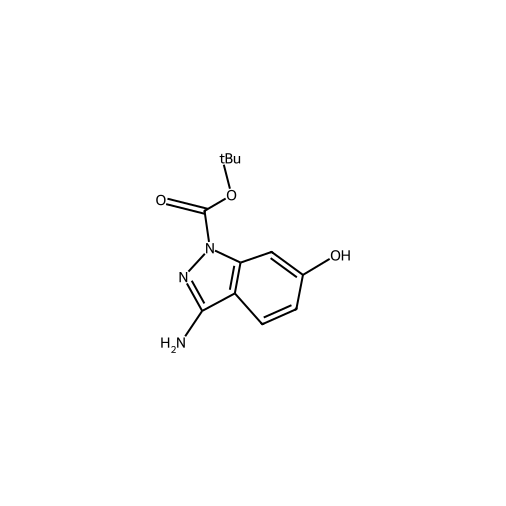 CC(C)(C)OC(=O)n1nc(N)c2ccc(O)cc21